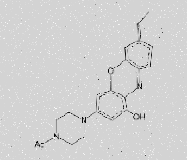 CC=c1ccc2c(c1)Oc1cc(N3CCN(C(C)=O)CC3)cc(O)c1N=2